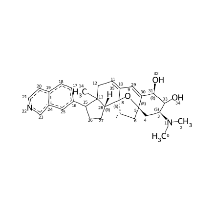 CN(C)[C@H]1C[C@@]23CC[C@@]4(O2)C(=CCC2(C)C(c5ccc6ccncc6c5)CC[C@H]24)C=C3[C@@H](O)C1O